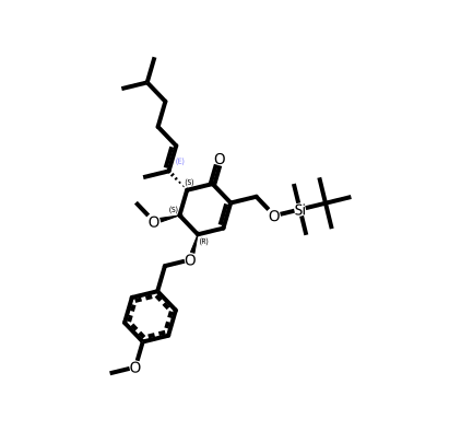 COc1ccc(CO[C@@H]2C=C(CO[Si](C)(C)C(C)(C)C)C(=O)[C@@H](/C(C)=C/CCC(C)C)[C@@H]2OC)cc1